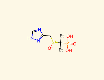 CCC(CC)([S+]([O-])Cc1nc[nH]n1)P(=O)(O)O